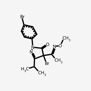 CON=C(C)C1(Br)C(=O)N(c2ccc(Br)cc2)N=C1C(C)C